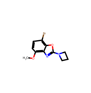 COc1ccc(Br)c2oc(N3CCC3)nc12